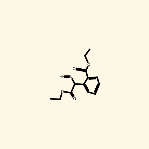 CCOC(=O)c1ccccc1C(N=N)C(=O)OCC